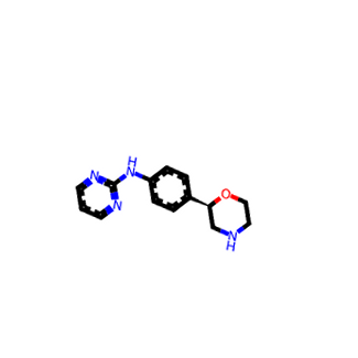 c1cnc(Nc2ccc([C@@H]3CNCCO3)cc2)nc1